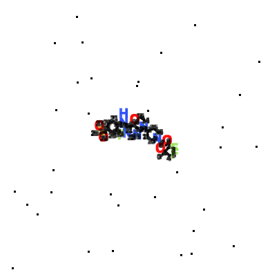 CC(CF)(CF)OC(=O)N1CCC(N2CCOc3c(Nc4ccc(S(C)(=O)=O)cc4F)ncnc32)CC1